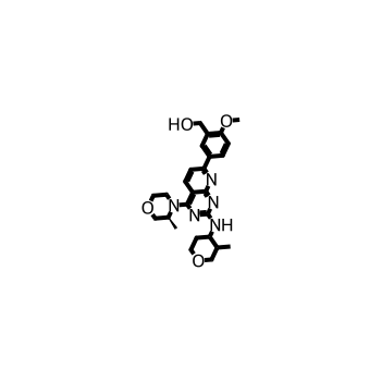 COc1ccc(-c2ccc3c(N4CCOC[C@@H]4C)nc(NC4CCOCC4C)nc3n2)cc1CO